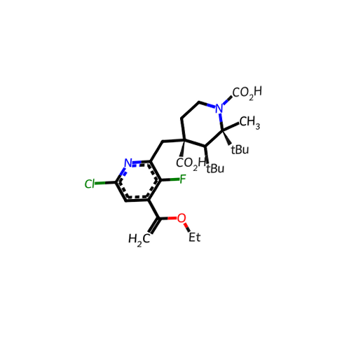 C=C(OCC)c1cc(Cl)nc(C[C@]2(C(=O)O)CCN(C(=O)O)[C@@](C)(C(C)(C)C)C2C(C)(C)C)c1F